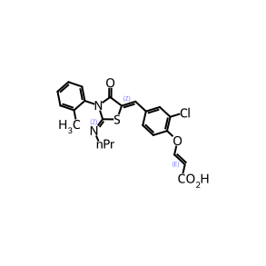 CCC/N=C1\S/C(=C\c2ccc(O/C=C/C(=O)O)c(Cl)c2)C(=O)N1c1ccccc1C